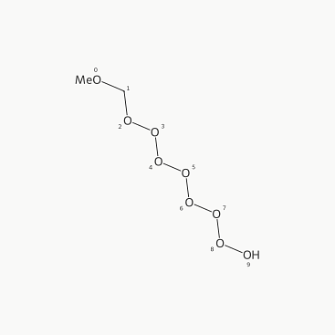 COCOOOOOOOO